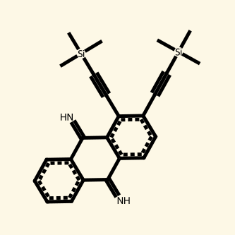 C[Si](C)(C)C#Cc1ccc2c(c1C#C[Si](C)(C)C)C(=N)c1ccccc1C2=N